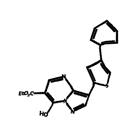 CCOC(=O)c1cnc2c(-c3cc(-c4ccccc4)cs3)cnn2c1O